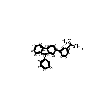 CC(C)c1cccc(-c2ccc3c4ccccc4n(-c4ccccc4)c3c2)c1